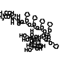 CC(C)(C)OC(=O)NCCNC(=O)OCC(COCC(COCC(COCC(COCC(COCC(O)CN(C[C@H](O)[C@@H](O)[C@H](O)[C@H](O)CO)C[C@H](O)[C@@H](O)[C@H](O)[C@H](O)CO)OCc1ccccc1)OCc1ccccc1)OCc1ccccc1)OCc1ccccc1)OCc1ccccc1